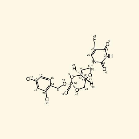 O=c1[nH]c(=O)n([C@H]2C[C@@H]3OP(=O)(OCc4ccc(Cl)cc4Cl)OC[C@H]3O2)cc1F